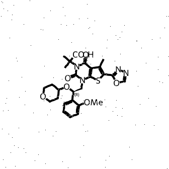 COc1ccccc1[C@H](Cn1c(=O)n(C(C)(C)C(=O)O)c(=O)c2c(C)c(-c3nnco3)sc21)OC1CCOCC1